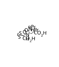 CCCN(CCC)C(=O)C(CCC(=O)O)NC(=O)C(C(=O)O)=C1SC=CS1